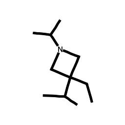 CCC1(C(C)C)CN(C(C)C)C1